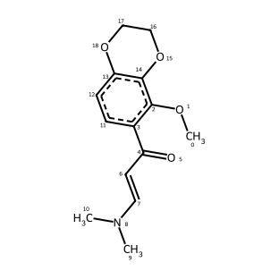 COc1c(C(=O)C=CN(C)C)ccc2c1OCCO2